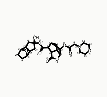 CC1(OC(=O)C2C3CC4C(OC(=O)C42)C3OC(=O)CN2CCOCC2)CC2C3CCC(O3)C2C1